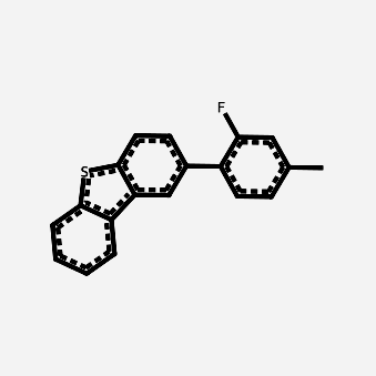 Cc1ccc(-c2ccc3sc4ccccc4c3c2)c(F)c1